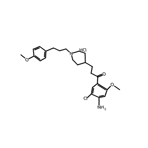 COc1ccc(CCCN2CCC(CCC(=O)c3cc(Cl)c(N)cc3OC)CC2)cc1.Cl